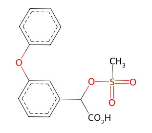 CS(=O)(=O)OC(C(=O)O)c1cccc(Oc2ccccc2)c1